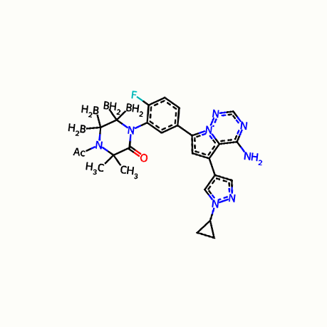 BC1(B)N(c2cc(-c3cc(-c4cnn(C5CC5)c4)c4c(N)ncnn34)ccc2F)C(=O)C(C)(C)N(C(C)=O)C1(B)B